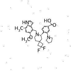 COc1cc(C)c2[nH]ccc2c1CN1CCC2(C[C@@H]1c1ccc(C(=O)O)cc1N1CCCC1)CC(F)(F)C2